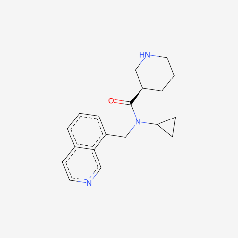 O=C([C@@H]1CCCNC1)N(Cc1cccc2ccncc12)C1CC1